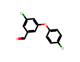 O=Cc1cc(Cl)cc(Oc2ccc(Cl)cc2)c1